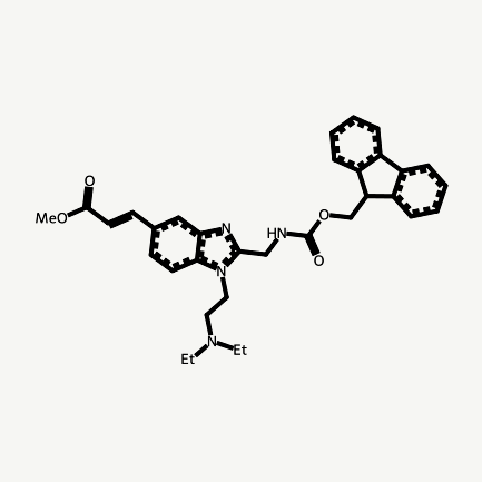 CCN(CC)CCn1c(CNC(=O)OCC2c3ccccc3-c3ccccc32)nc2cc(/C=C/C(=O)OC)ccc21